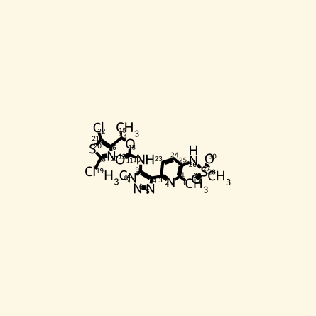 Cc1nc(-c2nnn(C)c2NC(=O)O[C@H](C)c2nc(Cl)sc2Cl)ccc1NS(C)(=O)=O